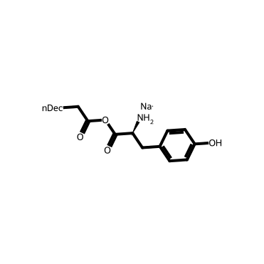 CCCCCCCCCCCC(=O)OC(=O)[C@@H](N)Cc1ccc(O)cc1.[Na]